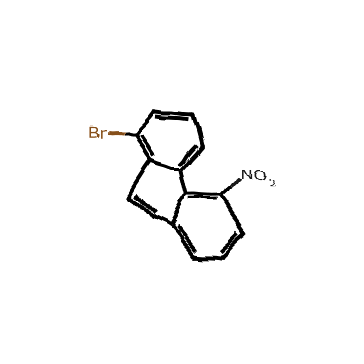 O=[N+]([O-])c1cccc2ccc3c(Br)cccc3c12